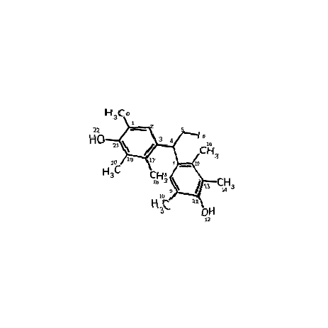 Cc1cc(C(CI)c2cc(C)c(O)c(C)c2C)c(C)c(C)c1O